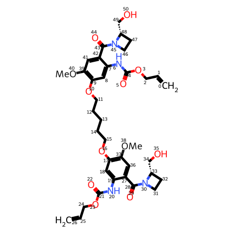 C=CCOC(=O)Nc1cc(OCCCCCOc2cc(NC(=O)OCC=C)c(C(=O)N3CC[C@H]3CO)cc2OC)c(OC)cc1C(=O)N1CC[C@H]1CO